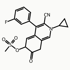 CS(=O)(=O)OC1C=C2C(=CN(C3CC3)C(C#N)=C2c2cccc(F)c2)CC1=O